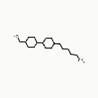 CCCCCCC1CCC(C2CCC(CO)CC2)CC1